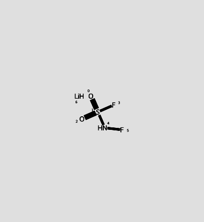 O=S(=O)(F)NF.[LiH]